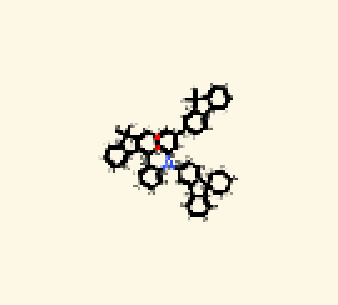 CC1(C)c2ccccc2-c2ccc(-c3cccc(N(c4ccc5c(c4)-c4ccccc4C54CCCCC4)c4ccccc4-c4cccc5c4-c4ccccc4C5(C)C)c3)cc21